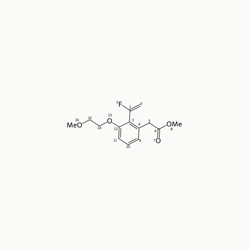 C=C(F)c1c(CC(=O)OC)cccc1OCCOC